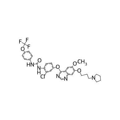 COc1cc2c(Oc3ccc(NC(=O)Nc4ccc(OC(F)(F)F)cc4)c(Cl)c3)ncnc2cc1OCCCN1CCCC1